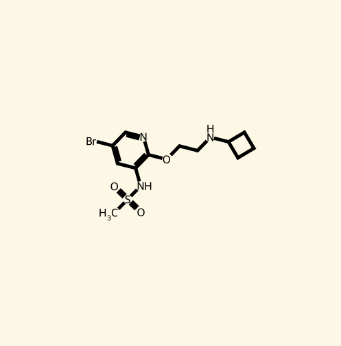 CS(=O)(=O)Nc1cc(Br)cnc1OCCNC1CCC1